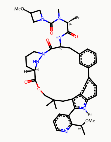 CCn1c(-c2cccnc2[C@H](C)OC)c2c3cc(ccc31)-c1cccc(c1)C[C@H](NC(=O)[C@H](C(C)C)N(C)C(=O)N1CC(OC)C1)C(=O)N1CCC[C@H](N1)C(=O)OCC(C)(C)C2